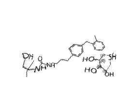 Cc1ccc([C@H]2[C@H](O)[C@H](O)[C@H](O)C[SH]2C)cc1Cc1ccc(CCCCNC(=O)NC(C)(C)CO)cc1